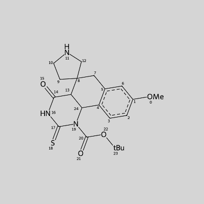 COc1ccc2c(c1)CC1(CCNC1)C1C(=O)NC(=S)N(C(=O)OC(C)(C)C)C21